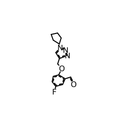 O=Cc1cc(F)ccc1OCc1cn(C2CCCC2)nn1